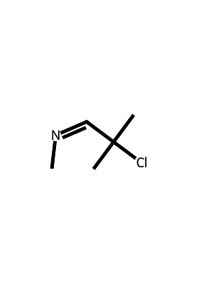 C/N=C\C(C)(C)Cl